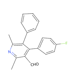 Cc1nc(C)c(-c2ccccc2)c(-c2ccc(F)cc2)c1C=O